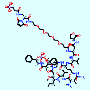 CC[C@H](C)[C@@H]([C@@H](CC(=O)N1CCC[C@H]1[C@H](OC)[C@@H](C)C(=O)N[C@H](C)[C@@H](OP(=O)(O)OCc1ccc(NC(=O)[C@H](CCCNC(N)=O)NC(=O)[C@@H](NC(=O)[C@H](CC(=O)N[C@H]2CCOC2=O)NC(=O)CCOCCOCCOCCOCCNC(=O)[C@H](CNC(=O)CCP(=O)(O)O)N2C(=O)C=CC2=O)C(C)C)cc1)c1ccccc1)OC)N(C)C(=O)[C@@H](NC(=O)[C@H](C(C)C)N(C)C)C(C)C